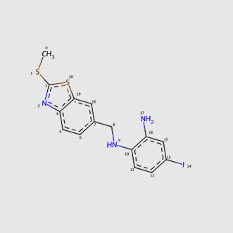 CSc1nc2ccc(CNc3ccc(I)cc3N)cc2s1